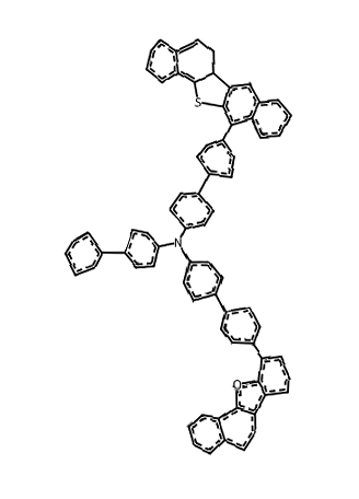 C1=c2ccccc2=C2Sc3c(cc4ccccc4c3-c3ccc(-c4ccc(N(c5ccc(-c6ccccc6)cc5)c5ccc(-c6ccc(-c7cccc8c7oc7c9ccccc9ccc87)cc6)cc5)cc4)cc3)C2C1